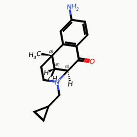 C[C@H]1[C@H]2C(=O)c3ccc(N)cc3[C@@]1(C)CCN2CC1CC1